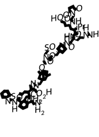 C=C/C=C(/c1cnn(CC23CC4(C)CC(C)(C2)C(OCCN(CCS(=O)(=O)O)C(=O)OCc2ccc(NC(=O)[C@H](CCCNN)NC(=O)C(CC(CCCO)NC(=O)CN5C(=O)C=CC5=O)C(C)C)cc2)(C4)C3)c1C)C(N)(Cc1c(CCN)cccc1C(=O)Nc1nc2ccccc2s1)C(=O)O